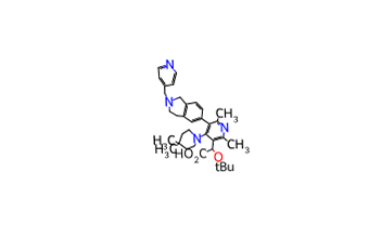 Cc1nc(C)c(C(OC(C)(C)C)C(=O)O)c(N2CCC(C)(C)CC2)c1-c1ccc2c(c1)CCN(Cc1ccncc1)C2